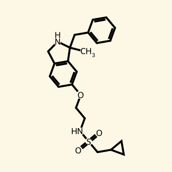 CC1(Cc2ccccc2)NCc2ccc(OCCNS(=O)(=O)CC3CC3)cc21